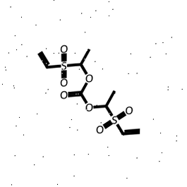 C=CS(=O)(=O)C(C)OC(=O)OC(C)S(=O)(=O)C=C